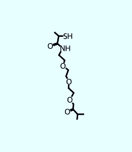 CC(C)C(=O)COCCOCCOCCNC(=O)C(C)S